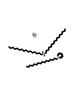 CCCCCCCCCCCCCCCC[N+](C)(C)CCCCCCCCCCCCCCCC.CCCCCCCCCCCCCCCC[n+]1ccccc1.[Cl-].[Cl-]